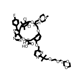 Cc1c(Cl)c2c(Cl)c(C)c1-c1c(-c3ccc(F)cc3)sc3ncnc(c13)O[C@@H](C(=O)O)Cc1cc(ccc1OCc1ccnc(C(C)(C)COCCOC[C@H]3COCCO3)n1)OC[C@@H](CN1CCN(C)CC1)O2